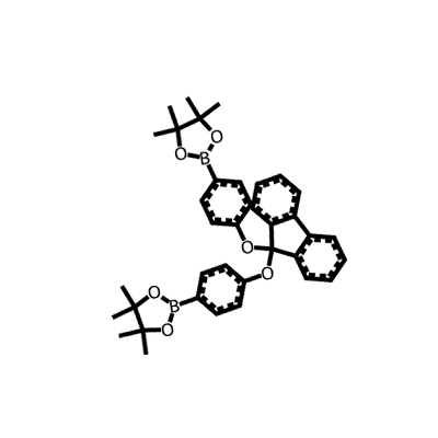 CC1(C)OB(c2ccc(OC3(Oc4ccc(B5OC(C)(C)C(C)(C)O5)cc4)c4ccccc4-c4ccccc43)cc2)OC1(C)C